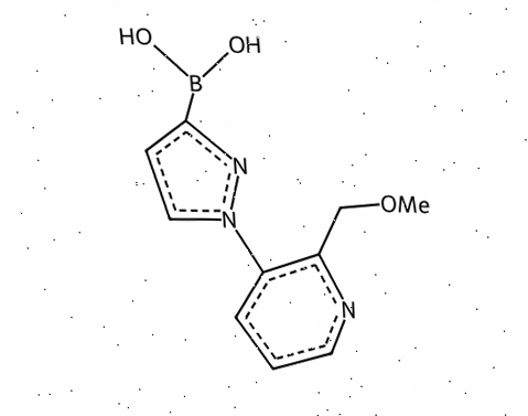 COCc1ncccc1-n1ccc(B(O)O)n1